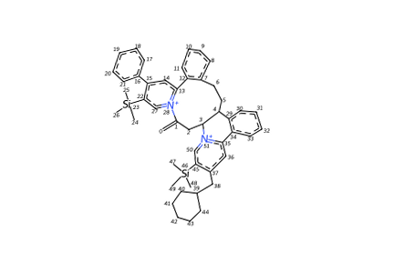 C=C1CC2C(CCc3ccccc3-c3cc(-c4ccccc4)c([Si](C)(C)C)c[n+]31)c1ccccc1-c1cc(CC3CCCCC3)c([Si](C)(C)C)c[n+]12